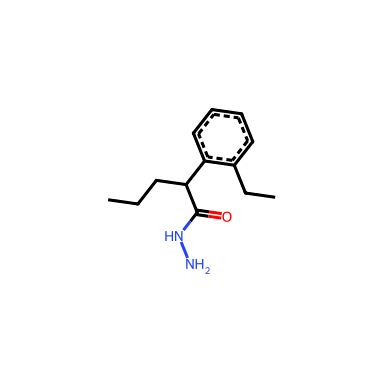 CCCC(C(=O)NN)c1ccccc1CC